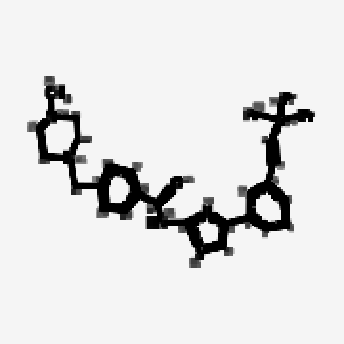 CC(C)S(C#Cc1cccc(-c2csc(NC(=O)c3ccc(CN4CCN(C)CC4)cc3)n2)c1)(C(C)C)C(C)C